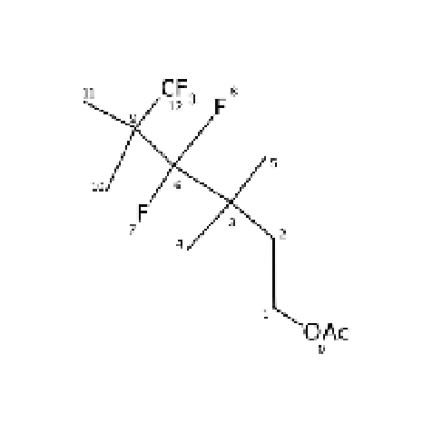 CC(=O)OCCC(C)(C)C(F)(F)C(C)(C)C(F)(F)F